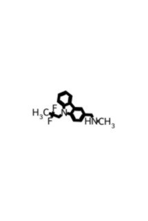 CNCc1ccc2c(c1)c1ccccc1n2CC(C)(F)F